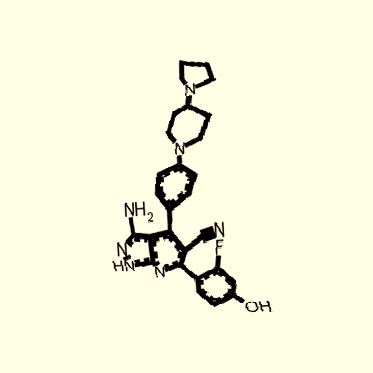 N#Cc1c(-c2ccc(O)cc2F)nc2[nH]nc(N)c2c1-c1ccc(N2CCC(N3CCCC3)CC2)cc1